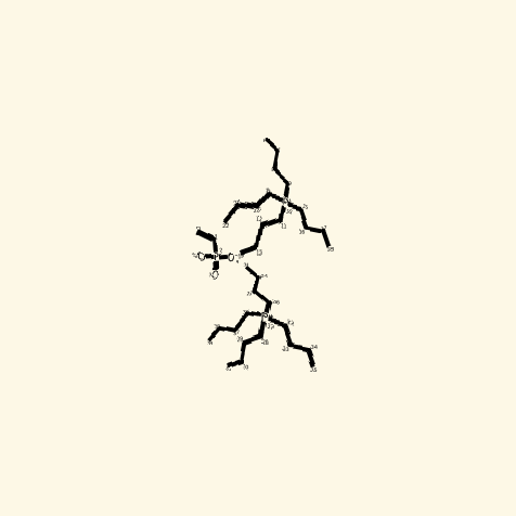 C=CP(=O)([O-])[O-].CCCC[P+](CCCC)(CCCC)CCCC.CCCC[P+](CCCC)(CCCC)CCCC